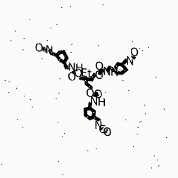 CCC(CCOC(=O)NCC1CCCC(CN=C=O)C1)(CCOC(=O)NCC1CCCC(CN=C=O)C1)COC(=O)NCC1CCCC(CN=C=O)C1